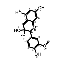 [2H]C1(O)C=c2c(O)cc(O)cc2=[O+]C1c1ccc(O)c(OC)c1